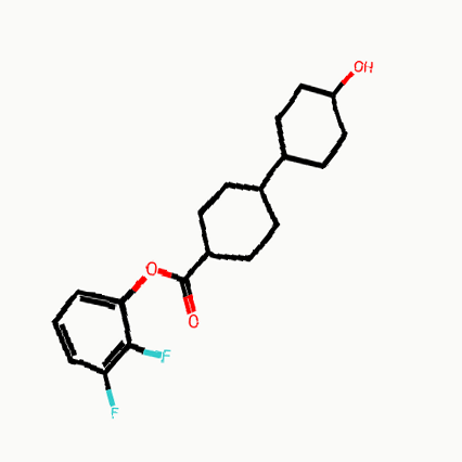 O=C(Oc1cccc(F)c1F)C1CCC(C2CCC(O)CC2)CC1